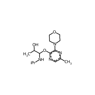 Cc1cnc(OC(NC(C)C)C(C)O)c(N2CCOCC2)n1